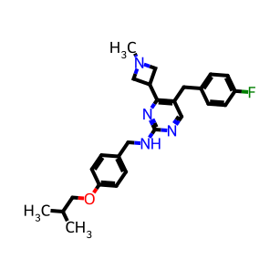 CC(C)COc1ccc(CNc2ncc(Cc3ccc(F)cc3)c(C3CN(C)C3)n2)cc1